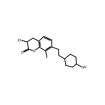 CCCC1CCC(CCc2ccc3c(c2F)OC(=O)C(CC)C3)CC1